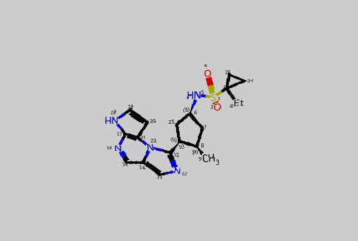 CCC1(S(=O)(=O)N[C@H]2C[C@@H](C)[C@@H](c3ncc4cnc5[nH]ccc5n34)C2)CC1